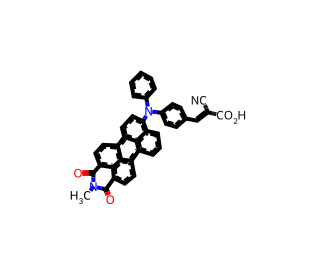 CN1C(=O)c2ccc3c4cccc5c(N(c6ccccc6)c6ccc(/C=C(\C#N)C(=O)O)cc6)ccc(c6ccc(c2c36)C1=O)c54